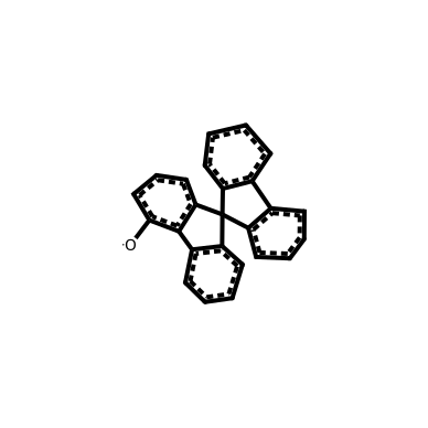 [O]c1cccc2c1-c1ccccc1C21c2ccccc2-c2ccccc21